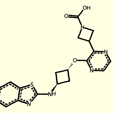 O=C(O)N1CC(c2nccnc2O[C@H]2C[C@H](Nc3nc4ccccc4s3)C2)C1